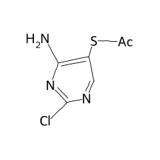 CC(=O)Sc1cnc(Cl)nc1N